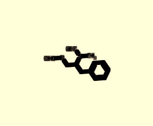 CN(C=O)C(COC=O)Cc1ccccc1